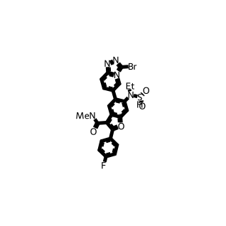 CCN(c1cc2oc(-c3ccc(F)cc3)c(C(=O)NC)c2cc1-c1ccc2nnc(Br)n2c1)[SH](=O)=O